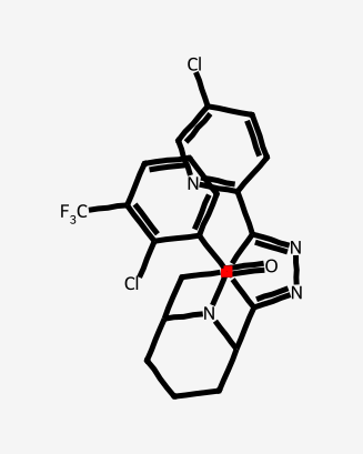 O=C(c1cccc(C(F)(F)F)c1Cl)N1C2CCCC1c1nnc(-c3ccc(Cl)cn3)n1C2